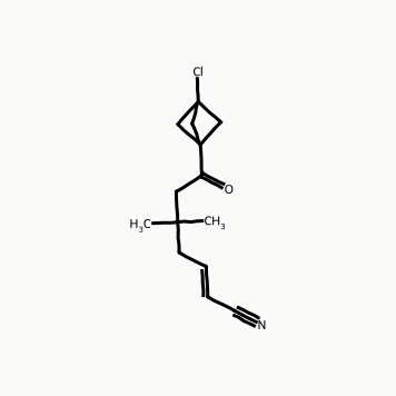 CC(C)(CC=CC#N)CC(=O)C12CC(Cl)(C1)C2